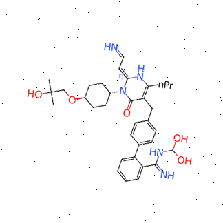 CCCC1=C(Cc2ccc(-c3ccccc3C(=N)NC(O)O)cc2)C(=O)N([C@H]2CC[C@H](OCC(C)(C)O)CC2)/C(=C/C=N)N1